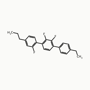 CCCc1ccc(-c2ccc(-c3ccc(CC)cc3)c(F)c2F)c(F)c1